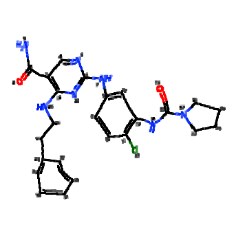 NC(=O)c1cnc(Nc2ccc(Cl)c(NC(=O)N3CCCC3)c2)nc1NCCc1ccccc1